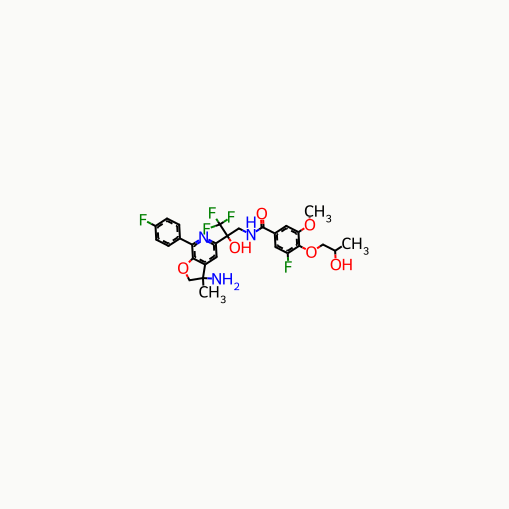 COc1cc(C(=O)NCC(O)(c2cc3c(c(-c4ccc(F)cc4)n2)OCC3(C)N)C(F)(F)F)cc(F)c1OCC(C)O